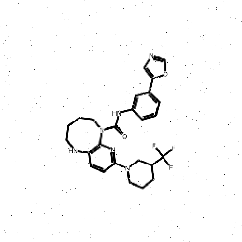 O=C(Nc1cccc(-c2cnco2)c1)N1CCCCNc2ccc(N3CCCC(C(F)(F)F)C3)nc21